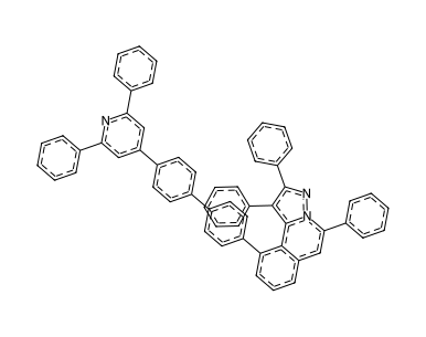 c1ccc(-c2cc(-c3ccc(-c4ccc(-c5cccc6cc(-c7ccccc7)n7nc(-c8ccccc8)c(-c8ccccc8)c7c56)cc4)cc3)cc(-c3ccccc3)n2)cc1